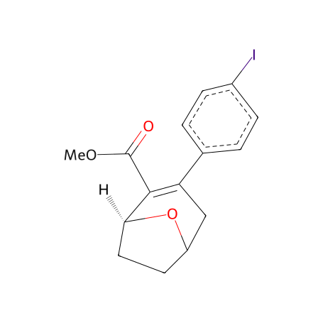 COC(=O)C1=C(c2ccc(I)cc2)CC2CC[C@@H]1O2